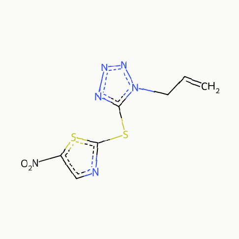 C=CCn1nnnc1Sc1ncc([N+](=O)[O-])s1